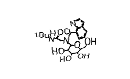 CC(C)(C)NC(=O)CN(C(=O)c1cccc2cccnc12)C1OC(CO)C(O)C(O)C1O